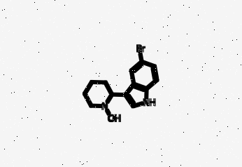 ON1CCCCC1c1c[nH]c2ccc(Br)cc12